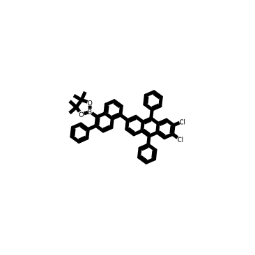 CC1(C)OB(c2c(-c3ccccc3)ccc3c(-c4ccc5c(-c6ccccc6)c6cc(Cl)c(Cl)cc6c(-c6ccccc6)c5c4)cccc23)OC1(C)C